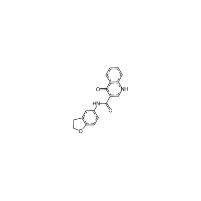 O=C(Nc1ccc2c(c1)CCO2)c1c[nH]c2ccccc2c1=O